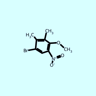 COc1c([N+](=O)[O-])cc(Br)c(C)c1C